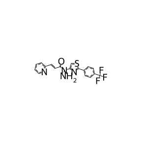 NN(C(=O)C=Cc1ccccn1)c1csc(-c2ccc(C(F)(F)F)cc2)n1